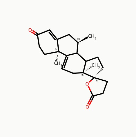 C[C@@H]1CC2=CC(=O)CC[C@]2(C)C2=CC[C@@]3(C)C(CC[C@@]34CCC(=O)O4)C21